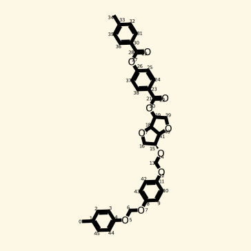 Cc1ccc(OCOc2ccc(OCO[C@@H]3COC4C(OC(=O)c5ccc(OC(=O)c6ccc(C)cc6)cc5)COC43)cc2)cc1